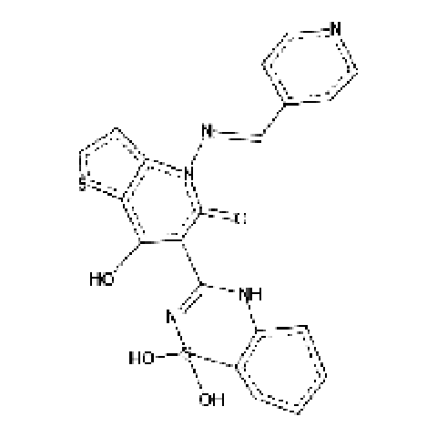 O=c1c(C2=NS(O)(O)c3ccccc3N2)c(O)c2sccc2n1N=Cc1ccncc1